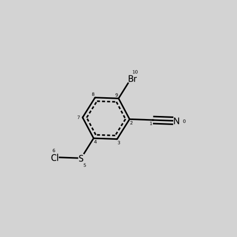 N#Cc1cc(SCl)ccc1Br